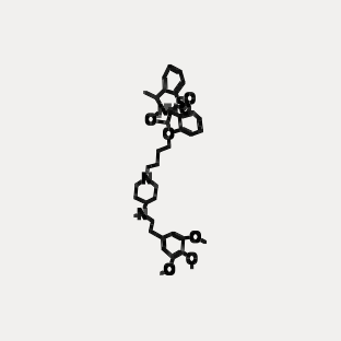 COc1cc(CCN(C)C2CCN(CCCCOc3ccccc3C3(C(C)C)[NH+]([O-])C(C)c4ccccc4S3(=O)=O)CC2)cc(OC)c1OC